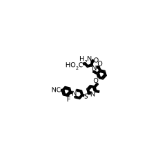 Cc1nc(SC2CCN(c3ccc(C#N)cc3F)CC2)ccc1COc1cccc2c1CN(C(CCC(=O)O)C(N)=O)C2=O